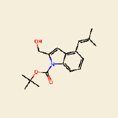 CC(C)=Cc1cccc2c1cc(CO)n2C(=O)OC(C)(C)C